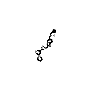 c1cc2nc(Cn3cc(-c4cncc(N5CCCCC5)c4)nn3)cn2cc1CNCC1CCC1